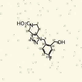 O=C(O)N1CCc2c(nnn2Cc2ccc(F)cc2CO)C1